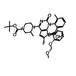 COCOc1cccc(F)c1-n1c(F)cc2c(N3CCN(C(=O)OC(C)(C)C)CC3C)nc(=O)n(-c3c(C)cccc3C(=O)O)c21